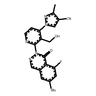 Cc1nn(-c2ccnc(-n3ncc4cc(C(C)(C)C)cc(F)c4c3=O)c2CO)cc1C#N